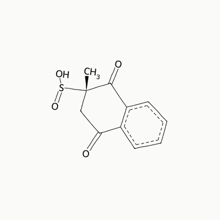 C[C@]1(S(=O)O)CC(=O)c2ccccc2C1=O